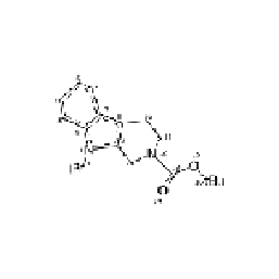 CC(C)n1c2c(c3ccccc31)CCN(C(=O)OC(C)(C)C)C2